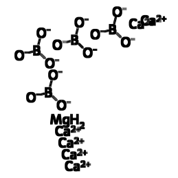 [Ca+2].[Ca+2].[Ca+2].[Ca+2].[Ca+2].[Ca+2].[MgH2].[O-]B([O-])[O-].[O-]B([O-])[O-].[O-]B([O-])[O-].[O-]B([O-])[O-]